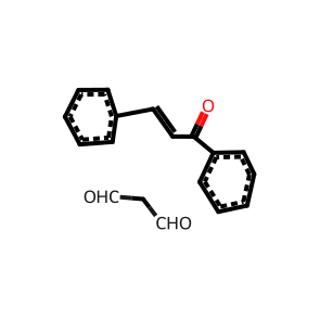 O=C(C=Cc1ccccc1)c1ccccc1.O=CCC=O